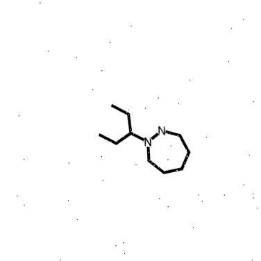 CCC(CC)N1CCCCC[N]1